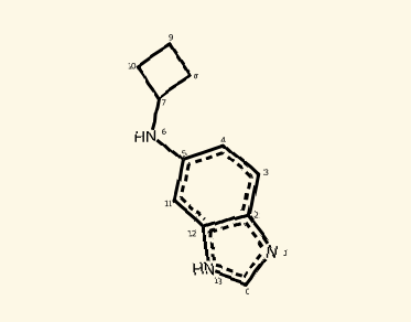 c1nc2ccc(NC3CCC3)cc2[nH]1